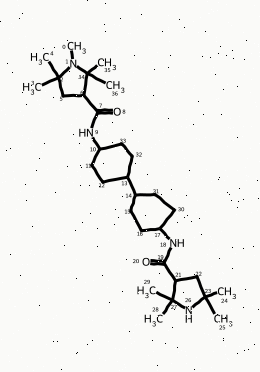 CN1C(C)(C)CC(C(=O)NC2CCC(C3CCC(NC(=O)C4CC(C)(C)NC4(C)C)CC3)CC2)C1(C)C